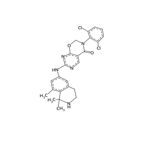 Cc1cc(Nc2ncc3c(n2)OCN(c2c(Cl)cccc2Cl)C3=O)cc2c1C(C)(C)NCC2